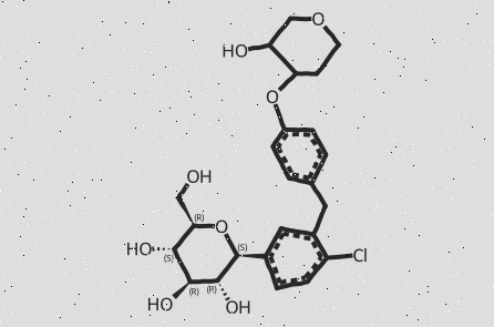 OC[C@H]1O[C@@H](c2ccc(Cl)c(Cc3ccc(OC4CCOCC4O)cc3)c2)[C@H](O)[C@@H](O)[C@@H]1O